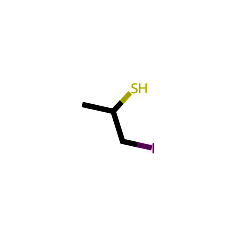 CC(S)CI